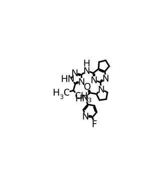 CC(C)c1nc(Nc2nc(N3CCCC3C(=O)Nc3ccc(F)nc3)nc3c2CCC3)n[nH]1